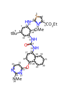 CCOC(=O)c1csc(Nc2cc(C(C)(C)C)cc(NC(=O)Nc3ccc(Oc4ccnc(NC)n4)c4ccccc34)c2OC)n1